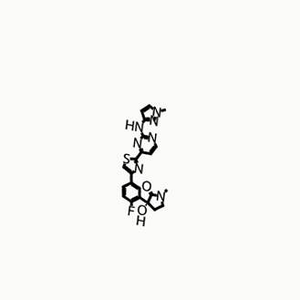 CN1CC[C@@](O)(c2cc(-c3csc(-c4ccnc(Nc5ccn(C)n5)n4)n3)ccc2F)C1=O